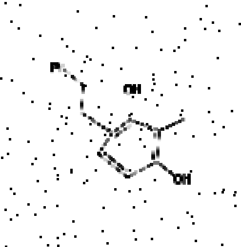 Cc1c(O)ccc(CCC(C)C)c1O